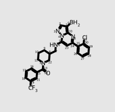 Bc1cnn2c(NCC3CCCN(C(=O)c4cccc(C(F)(F)F)c4)C3)cc(-c3ccccc3Cl)nc12